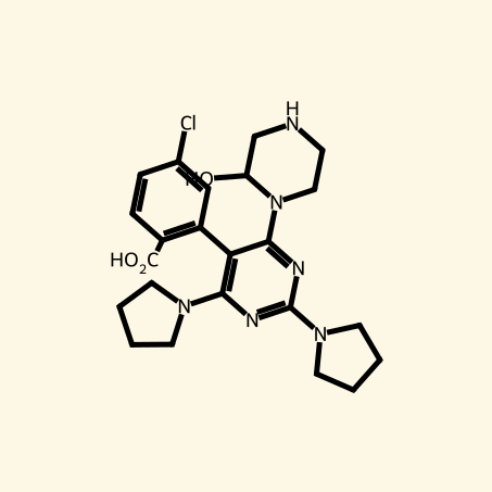 O=C(O)c1ccc(Cl)cc1-c1c(N2CCCC2)nc(N2CCCC2)nc1N1CCNCC1O